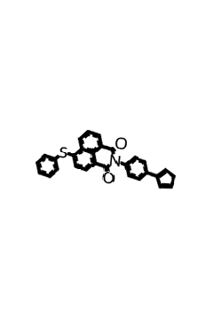 O=C1c2cccc3c(Sc4ccccc4)ccc(c23)C(=O)N1c1ccc(C2=CCC=C2)cc1